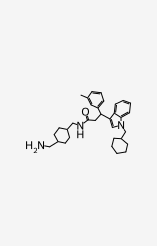 Cc1cccc(C(CC(=O)NCC2CCC(CN)CC2)c2cn(CC3CCCCC3)c3ccccc23)c1